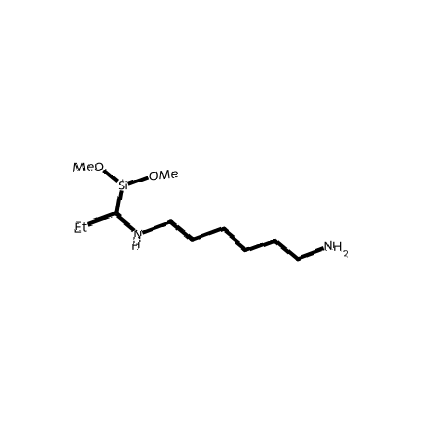 CCC(NCCCCCCN)[Si](OC)OC